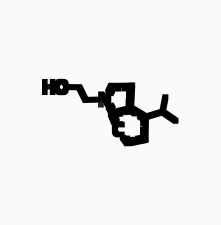 CC(C)c1cccc2c1ccn2CCO